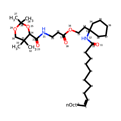 CCCCCCCC/C=C\CCCCCCCC(=O)NC1(CCOC(=O)CCNC(=O)C2OC(C)(C)OCC2(C)C)CCCCC1